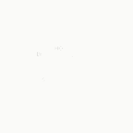 OC1(c2ccsc2Br)CCCC1